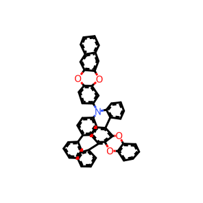 c1ccc(-c2ccc(N(c3ccc4c(c3)Oc3cc5ccccc5cc3O4)c3ccccc3-c3ccc(-c4ccccc4)c4c3Oc3ccccc3O4)cc2)cc1